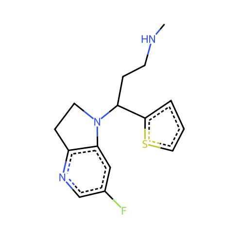 CNCCC(c1cccs1)N1CCc2ncc(F)cc21